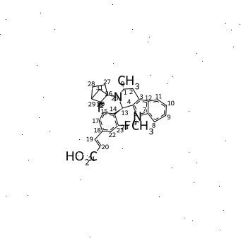 C[C@@H]1Cc2c(n(C)c3ccccc23)[C@@H](c2c(F)cc(/C=C/C(=O)O)cc2F)N1C12CCC(C1)C2